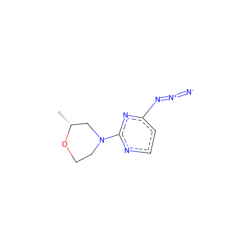 C[C@@H]1CN(c2nccc(N=[N+]=[N-])n2)CCO1